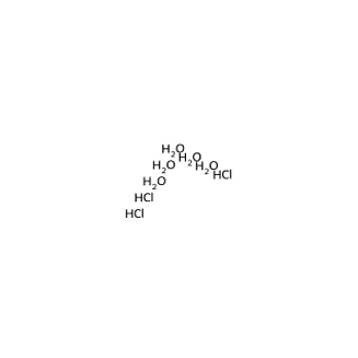 Cl.Cl.Cl.O.O.O.O.O